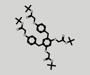 CC(C)(C)OC(=O)COc1ccc(Cc2cc(Cc3ccc(OCC(=O)OC(C)(C)C)cc3)c(OCC(=O)OC(C)(C)C)cc2OCC(=O)OC(C)(C)C)cc1